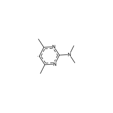 Cc1[c]c(C)nc(N(C)C)n1